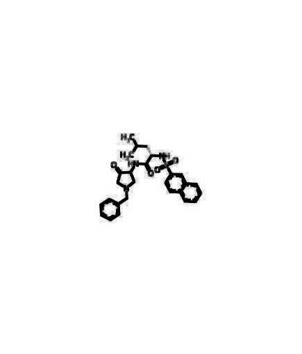 CC(C)C[C@H](NS(=O)(=O)c1ccc2ccccc2c1)C(=O)NC1CN(Cc2ccccc2)CC1=O